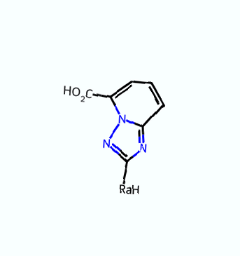 O=C(O)c1cccc2n[c]([RaH])nn12